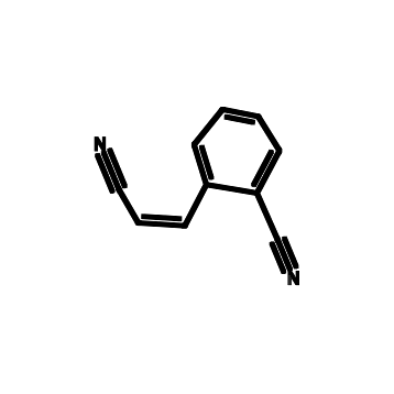 N#C/C=C\c1ccccc1C#N